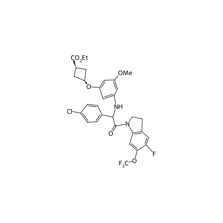 CCOC(=O)[C@H]1C[C@@H](Oc2cc(NC(C(=O)N3CCc4cc(F)c(OC(F)(F)F)cc43)c3ccc(Cl)cc3)cc(OC)c2)C1